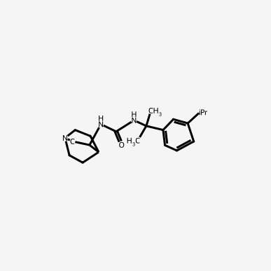 CC(C)c1cccc(C(C)(C)NC(=O)NC2CN3CCC2CC3)c1